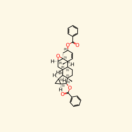 C[C@]12CC[C@H]3[C@@H](C[C@H]4O[C@]45C[C@@H](OC(=O)c4ccccc4)C=C[C@]35C)[C@@H]1[C@@H]1C[C@@H]1[C@@H]2OC(=O)c1ccccc1